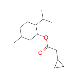 CC1CCC(C(C)C)C(OC(=O)CC2CC2)C1